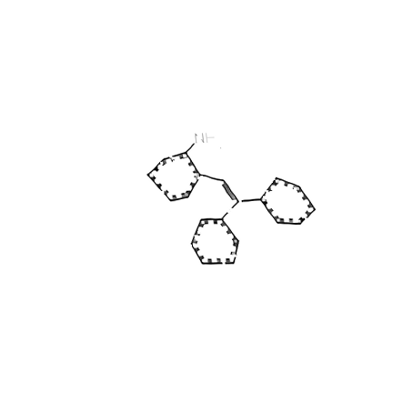 Nc1ccccc1C=C(c1ccccc1)c1ccccc1